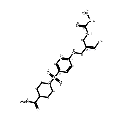 CNC(=O)C1CCN(S(=O)(=O)c2ccc(OC/C(=C/F)CNC(=O)OC(C)(C)C)nc2)CC1